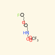 O=C(CCNCCCc1ccc(OCCCc2cccc(F)c2)cc1)OC(=O)C(F)(F)F